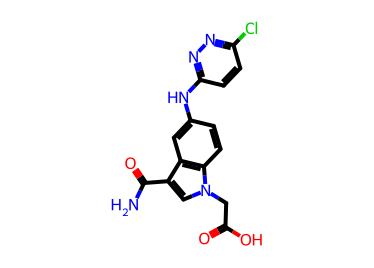 NC(=O)c1cn(CC(=O)O)c2ccc(Nc3ccc(Cl)nn3)cc12